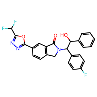 O=C1c2cc(-c3nnc(C(F)F)o3)ccc2CN1C(c1ccc(F)cc1)C(O)c1ccccc1